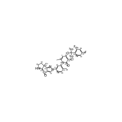 [2H]C([2H])(Oc1cc(C)n(-c2cc(-n3ccc(C4(C)CCNC4=C=O)n3)ncc2C)c(=O)c1Cl)c1ncc(F)cc1F